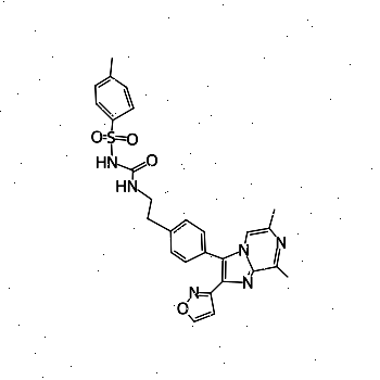 Cc1ccc(S(=O)(=O)NC(=O)NCCc2ccc(-c3c(-c4ccon4)nc4c(C)nc(C)cn34)cc2)cc1